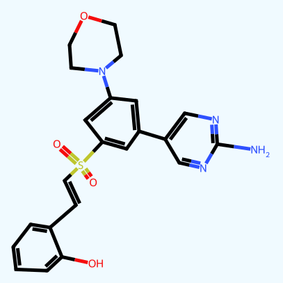 Nc1ncc(-c2cc(N3CCOCC3)cc(S(=O)(=O)C=Cc3ccccc3O)c2)cn1